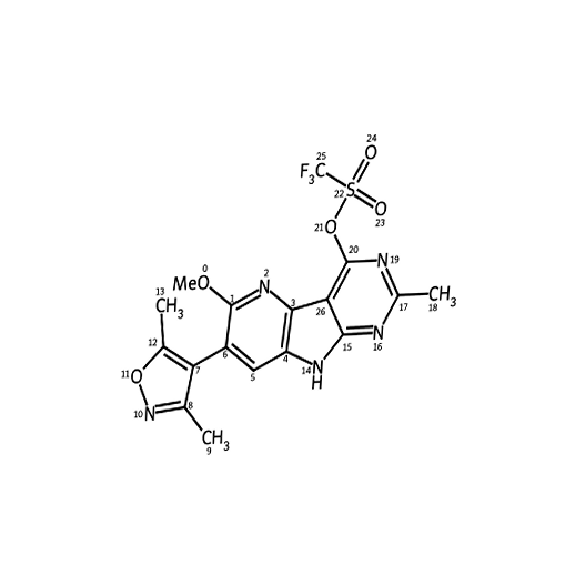 COc1nc2c(cc1-c1c(C)noc1C)[nH]c1nc(C)nc(OS(=O)(=O)C(F)(F)F)c12